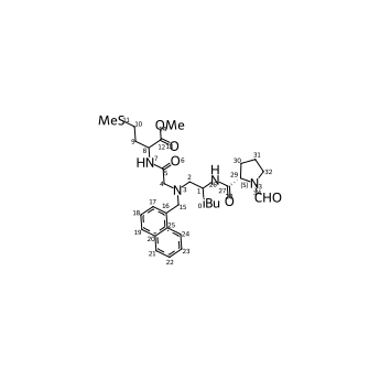 CCC(C)C(CN(CC(=O)NC(CCSC)C(=O)OC)Cc1cccc2ccccc12)NC(=O)[C@@H]1CCCN1C=O